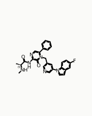 CN[C@@H](C)C(=O)Nc1ncc(-c2ccccc2)n(Cc2cncc(-n3ccc4cc(F)ccc43)c2)c1=O